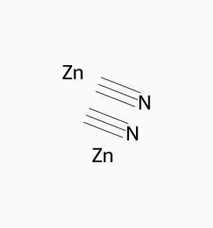 C#N.C#N.[Zn].[Zn]